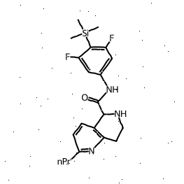 CCCc1ccc2c(n1)CCNC2C(=O)Nc1cc(F)c([Si](C)(C)C)c(F)c1